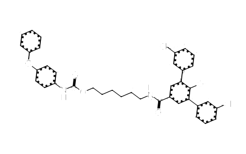 [O]c1c(-c2cccc(Cl)c2)cc(C(=O)NCCCCCCOC(=O)Nc2ccc(Oc3ccccc3)cc2)cc1-c1cccc(Cl)c1